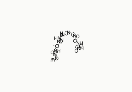 Cc1cc(-c2ccnc(Nc3cnn(C4CCN(CC5CCN(C(=O)c6cccc(NC7CCC(=O)NC7=O)c6)CC5)CC4)c3)n2)ccc1CNC(=O)N1CC(OC(C)C)C1